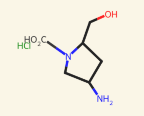 Cl.NC1CC(CO)N(C(=O)O)C1